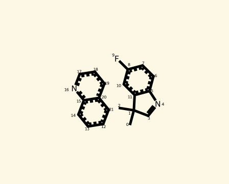 CC1(C)C=Nc2ccc(F)cc21.c1ccc2ncccc2c1